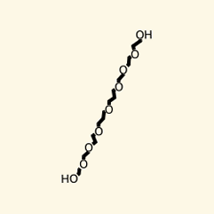 OCCOCCOCCOCCCOCCCOCCOCCOCCO